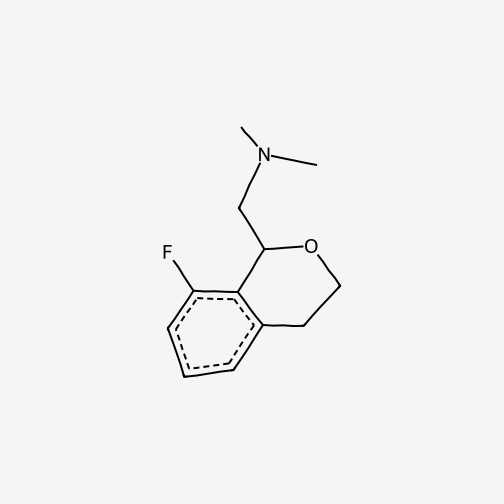 CN(C)CC1OCCc2cccc(F)c21